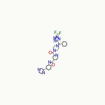 O=C(c1cc(-c2nc3cc(-c4cnccn4)ccc3o2)ccn1)N1CCN([C@@H](c2ccccc2)c2nnn(C(F)F)n2)CC1